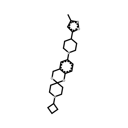 Cc1cc(C2CCN(c3ccc4c(c3)COC3(CCN(C5CCC5)CC3)O4)CC2)on1